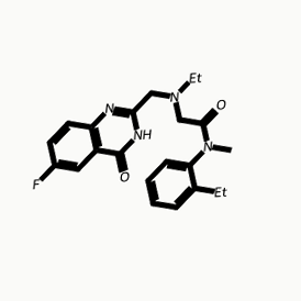 CCc1ccccc1N(C)C(=O)CN(CC)Cc1nc2ccc(F)cc2c(=O)[nH]1